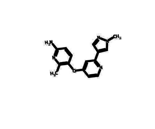 Cc1nc(N)ccc1Oc1ccnc(-c2cnn(C)c2)c1